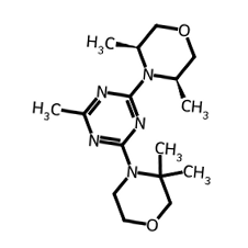 Cc1nc(N2[C@H](C)COC[C@@H]2C)nc(N2CCOCC2(C)C)n1